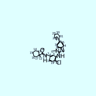 Cn1c(Nc2cc(CNC(=O)C3(C)CCCCC3)ccc2Cl)nc2ccc(N3CCCC3)cc21